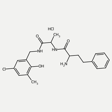 Cc1cc(Cl)cc(CNC(=O)C(C)NC(=O)C(N)CCc2ccccc2)c1O.Cl